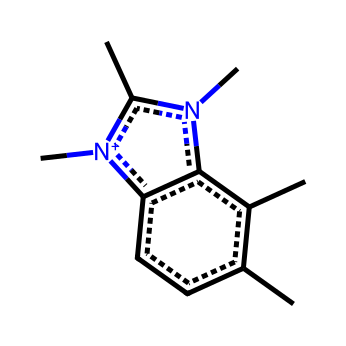 Cc1ccc2c(c1C)n(C)c(C)[n+]2C